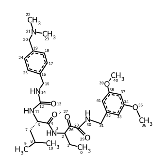 CCC(NC(=O)[C@H](CC(C)C)NC(=O)NCc1ccc(CN(C)C)cc1)C(=O)C(=O)NCc1cc(OC)cc(OC)c1